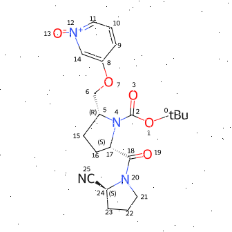 CC(C)(C)OC(=O)N1[C@@H](COc2ccc[n+]([O-])c2)CC[C@H]1C(=O)N1CCC[C@H]1C#N